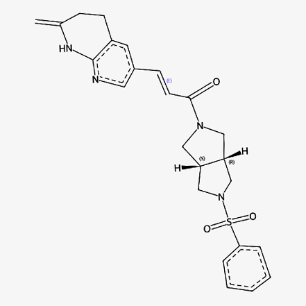 C=C1CCc2cc(/C=C/C(=O)N3C[C@@H]4CN(S(=O)(=O)c5ccccc5)C[C@@H]4C3)cnc2N1